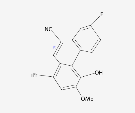 COc1cc(C(C)C)c(/C=C/C#N)c(-c2ccc(F)cc2)c1O